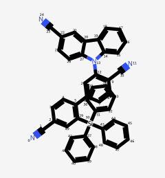 N#Cc1ccc(-c2ccc(C#N)c(-n3c4ccccc4c4cc(C#N)ccc43)c2)c([Si](c2ccccc2)(c2ccccc2)c2ccccc2)c1